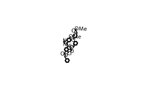 COC(=O)CN1CCC(Oc2cc3c(Nc4ccc(C(=O)OCc5ccccc5)c(Cl)c4C(=O)OCc4ccccc4)ncnc3cc2OC)CC1